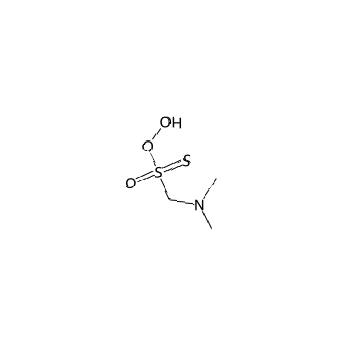 CN(C)CS(=O)(=S)OO